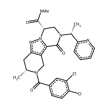 CNC(=O)[C@@H]1CN([C@H](C)c2ccccn2)C(=O)c2c3c(nn21)C[C@@H](C)N(C(=O)c1ccc(Cl)c(Cl)c1)C3